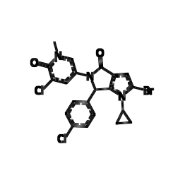 Cn1cc(N2C(=O)c3cc(Br)n(C4CC4)c3C2c2ccc(Cl)cc2)cc(Cl)c1=O